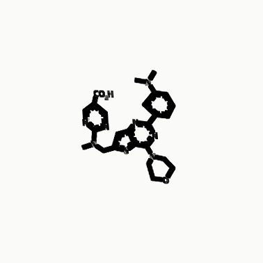 CN(C)c1cccc(-c2nc(N3CCOCC3)c3sc(CN(C)c4ncc(C(=O)O)cn4)cc3n2)c1